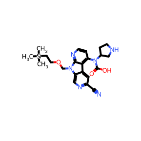 C[Si](C)(C)CCOCn1c2cnc(C#N)cc2c2c(N(C(=O)O)C3CCNC3)ccnc21